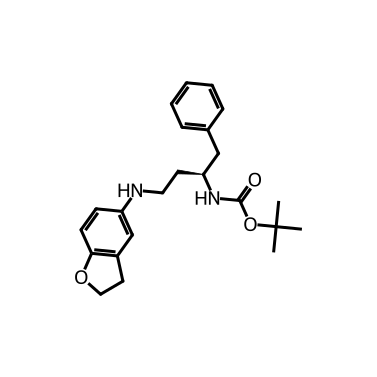 CC(C)(C)OC(=O)N[C@@H](CCNc1ccc2c(c1)CCO2)Cc1ccccc1